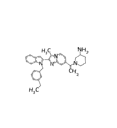 C=C(c1ccn2c(C)c(-c3cc4ccccc4n3Cc3cccc(CC)c3)nc2c1)N1CCCC(N)C1